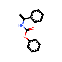 C=C(NC(=O)Oc1ccccc1)c1ccccc1